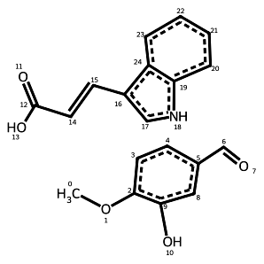 COc1ccc(C=O)cc1O.O=C(O)C=Cc1c[nH]c2ccccc12